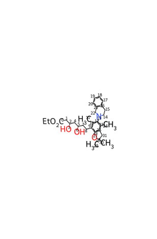 CCOC(=O)CC(O)CC(O)CCc1c(C)c(N2CCc3ccccc3C2)c(C)c2c1OC(C)(C)C2